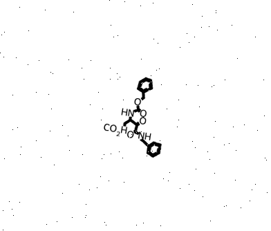 O=C(O)CC(NC(=O)OCc1ccccc1)C(=O)C(=O)NCc1ccccc1